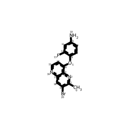 Cc1nc2c(Oc3ccc(N)cc3F)ccnc2cc1Br